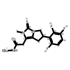 Cn1c(CC(=O)NC(C)(C)C)c2n(c1=S)CC(c1c(F)ccc(F)c1F)C2